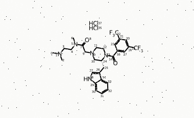 CN(C)CCN(C)C(=O)CN1CCN(C(=O)c2cc(C(F)(F)F)cc(C(F)(F)F)c2)[C@H](Cc2c[nH]c3ccccc23)C1.Cl.Cl